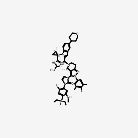 CCP(=O)(CC)c1cc(F)c(-n2ccn(-c3c4c(nn3-c3cc(C)c(F)c(C)c3)CCN(C(=O)c3cc5cc(C6CCOCC6)ccc5n3[C@@]3(C5=NOC(O)N5)C[C@@H]3C)[C@H]4C)c2=O)cc1NC